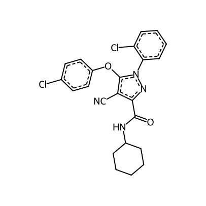 N#Cc1c(C(=O)NC2CCCCC2)nn(-c2ccccc2Cl)c1Oc1ccc(Cl)cc1